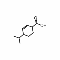 CC(C)C1C=CC(C(=O)O)CC1